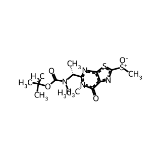 C[C@H](c1nc2sc([S+](C)[O-])nc2c(=O)n1C)N(C)C(=O)OC(C)(C)C